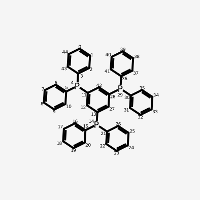 c1ccc(P(c2ccccc2)c2cc(P(c3ccccc3)c3ccccc3)cc(P(c3ccccc3)c3ccccc3)c2)cc1